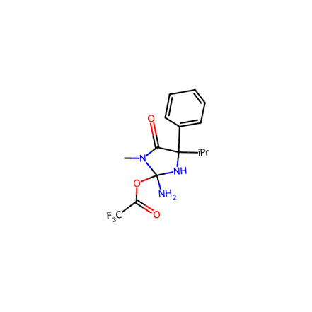 CC(C)C1(c2ccccc2)NC(N)(OC(=O)C(F)(F)F)N(C)C1=O